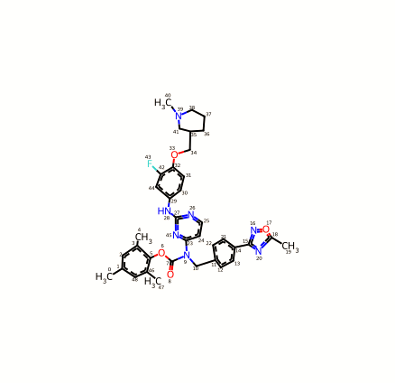 Cc1cc(C)c(OC(=O)N(Cc2ccc(-c3noc(C)n3)cc2)c2ccnc(Nc3ccc(OCC4CCCN(C)C4)c(F)c3)n2)c(C)c1